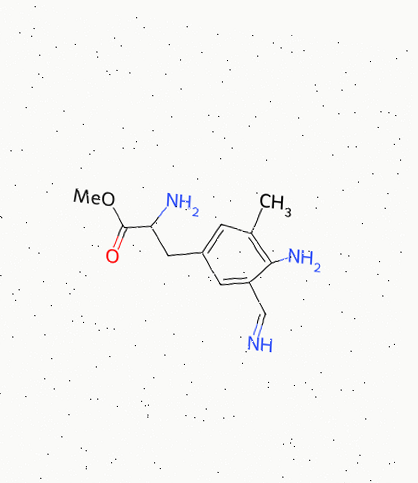 COC(=O)C(N)Cc1cc(C)c(N)c(C=N)c1